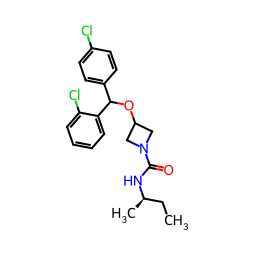 CC[C@@H](C)NC(=O)N1CC(OC(c2ccc(Cl)cc2)c2ccccc2Cl)C1